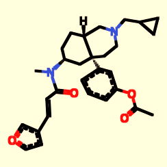 CC(=O)Oc1cccc([C@@]23CCN(CC4CC4)C[C@H]2CC[C@H](N(C)C(=O)/C=C/c2ccoc2)C3)c1